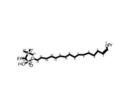 CCC/C=C\CCCCCCCCCCCCCCOP(=O)(O)C(CC)[N+](C)(C)C